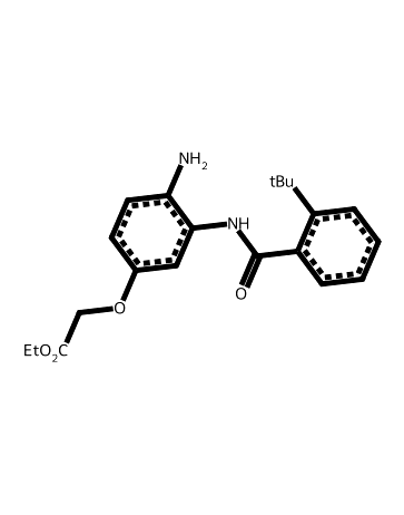 CCOC(=O)COc1ccc(N)c(NC(=O)c2ccccc2C(C)(C)C)c1